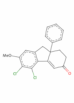 COc1cc2c(c(Cl)c1Cl)C1=CC(=O)CCC1(c1ccccc1)C2